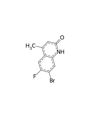 Cc1cc(=O)[nH]c2cc(Br)c(F)cc12